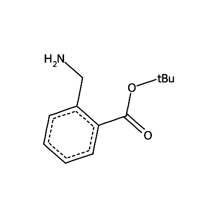 CC(C)(C)OC(=O)c1ccccc1CN